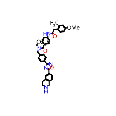 COc1ccc(CC(=O)Nc2ccc(C(=O)N(CC(=O)O)Cc3ccc(-c4noc(-c5ccc6c(c5)CCNC6)n4)cc3)cc2)c(C(F)(F)F)c1